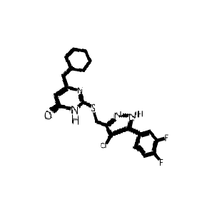 O=c1cc(CC2CCCCC2)nc(SCc2n[nH]c(-c3ccc(F)c(F)c3)c2Cl)[nH]1